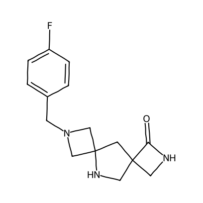 O=C1NCC12CNC1(CN(Cc3ccc(F)cc3)C1)C2